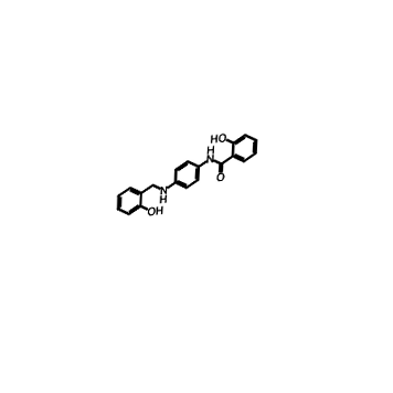 O=C(Nc1ccc(NCc2ccccc2O)cc1)c1ccccc1O